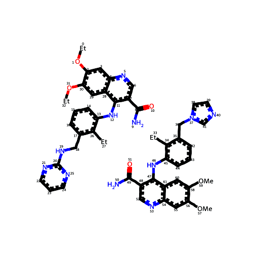 CCOc1cc2ncc(C(N)=O)c(Nc3cccc(CNc4ncccn4)c3CC)c2cc1OCC.CCc1c(Cn2ccnc2)cccc1Nc1c(C(N)=O)cnc2cc(OC)c(OC)cc12